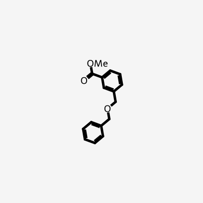 COC(=O)c1cccc(COCc2ccccc2)c1